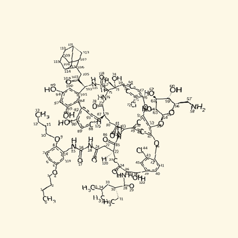 CCCCOc1ccc(OCCCC)c(NC(=O)NC(=O)C[C@@H]2CC(=O)[C@H](NC(=O)[C@H](CC)CC(C)C)[C@H](O)c3ccc(c(Cl)c3)Oc3cc4cc(c3O[C@@H]3O[C@H](CN)[C@@H](O)[C@H](O)[C@H]3O)Oc3ccc(cc3Cl)[C@@H](O)[C@@H]3NC(=O)[C@H](CC(=O)[C@@H]4NC2=O)c2ccc(O)c(c2)-c2c(O)cc(O)cc2[C@@H](C(=O)CC2C4CC5CC(C4)CC2C5)NC3=O)c1